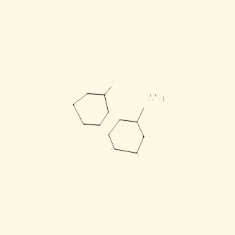 [Mg+2].[O-]C1CCCCC1.[O-]C1CCCCC1